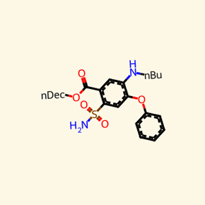 CCCCCCCCCCOC(=O)c1cc(NCCCC)c(Oc2ccccc2)cc1S(N)(=O)=O